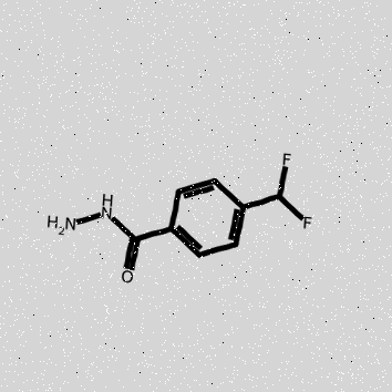 NNC(=O)c1ccc(C(F)F)cc1